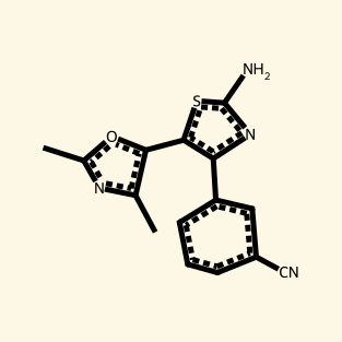 Cc1nc(C)c(-c2sc(N)nc2-c2cccc(C#N)c2)o1